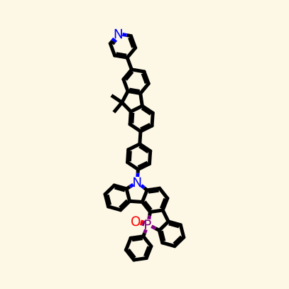 CC1(C)c2cc(-c3ccncc3)ccc2-c2ccc(-c3ccc(-n4c5ccccc5c5c6c(ccc54)-c4ccccc4P6(=O)c4ccccc4)cc3)cc21